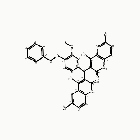 COc1cc(C(c2c(O)c3cc(Cl)ccc3oc2=O)c2c(O)c3cc(Cl)ccc3oc2=O)ccc1OCc1ccccc1